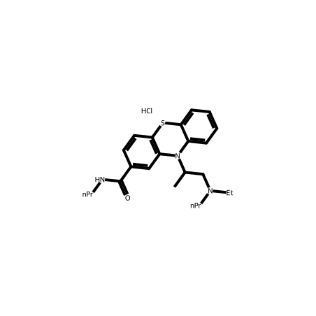 CCCNC(=O)c1ccc2c(c1)N(C(C)CN(CC)CCC)c1ccccc1S2.Cl